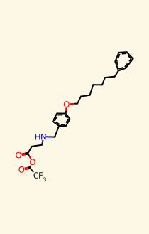 O=C(CCNCc1ccc(OCCCCCCCc2ccccc2)cc1)OC(=O)C(F)(F)F